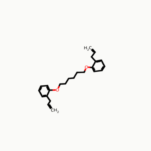 C=CCc1ccccc1OCCCCCCOc1ccccc1CC=C